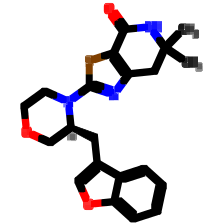 CC1(C)Cc2nc(N3CCOC[C@@H]3Cc3coc4ccccc34)sc2C(=O)N1